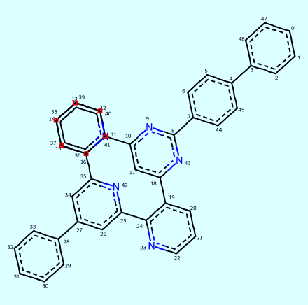 c1ccc(-c2ccc(-c3nc(-c4ccccc4)cc(-c4cccnc4-c4cc(-c5ccccc5)cc(-c5ccccn5)n4)n3)cc2)cc1